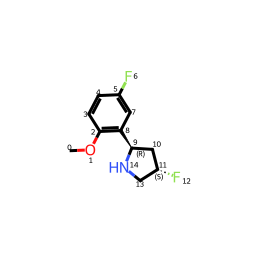 COc1ccc(F)cc1[C@H]1C[C@H](F)CN1